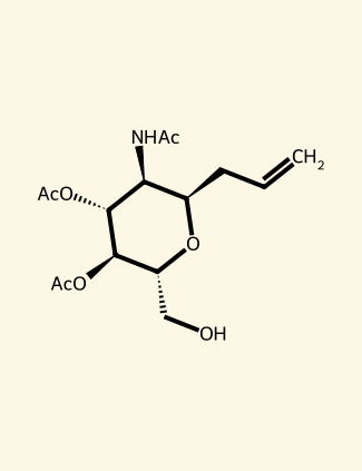 C=CC[C@H]1O[C@H](CO)[C@@H](OC(C)=O)[C@H](OC(C)=O)[C@H]1NC(C)=O